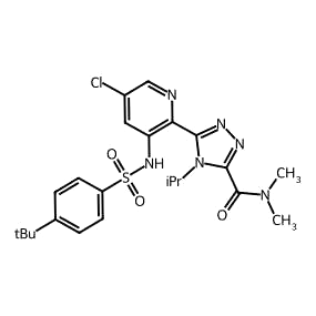 CC(C)n1c(C(=O)N(C)C)nnc1-c1ncc(Cl)cc1NS(=O)(=O)c1ccc(C(C)(C)C)cc1